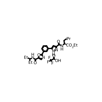 CCOC(=O)[C@H](CC(C)C)NC(=O)c1cc(-c2cccc(-c3ncc(C(=O)NC(CC)CC)o3)c2)[nH]n1.O=C(O)C(F)(F)F